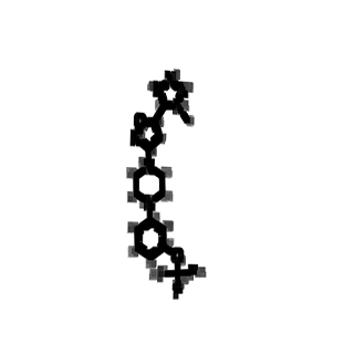 Cn1nnnc1-c1cc(N2CCN(c3cccc(OC(F)(F)F)c3)CC2)no1